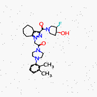 Cc1cccc(N2CCN(C(=O)Cn3nc(C(=O)N4CC[C@H](O)[C@H](F)C4)c4c3CCCCC4)CC2)c1C